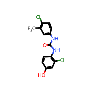 O=C(Nc1ccc(Cl)c(C(F)(F)F)c1)Nc1ccc(O)cc1Cl